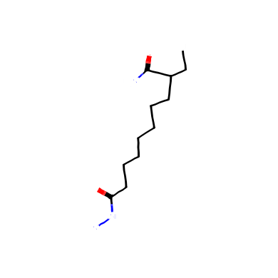 CCC(CCCCCCCC(=O)NN)C(N)=O